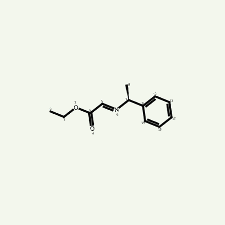 CCOC(=O)C=N[C@@H](C)c1ccccc1